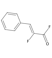 O=C(F)C(F)=Cc1ccccc1